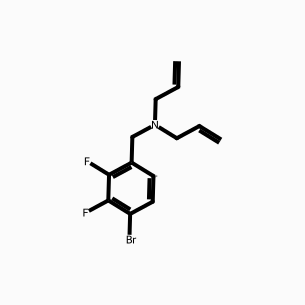 C=CCN(CC=C)Cc1[c]cc(Br)c(F)c1F